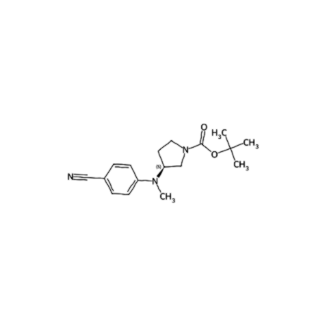 CN(c1ccc(C#N)cc1)[C@H]1CCN(C(=O)OC(C)(C)C)C1